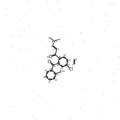 C=C.CN(C)/C=C/C(=O)c1ccc(Cl)cc1C(=O)c1ccccc1F